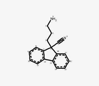 N#CC1(CCCN)c2ccccc2-c2ccccc21